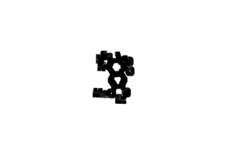 CCOc1cc2c(cc1OC)-c1nn[se]c1C(C)(C)S2(=O)=O